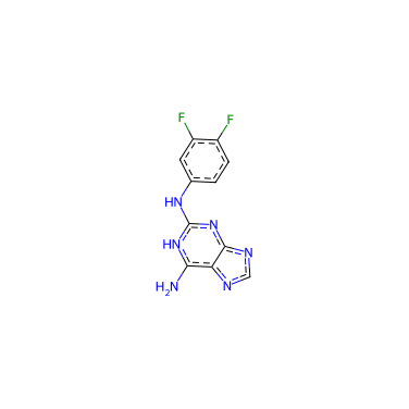 Nc1[nH]c(Nc2ccc(F)c(F)c2)nc2ncnc1-2